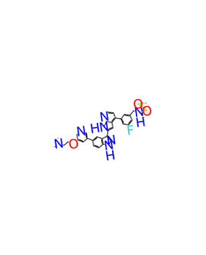 CN(C)CCOc1cncc(-c2ccc3[nH]nc(-c4cc5c(-c6cc(F)cc(CNS(C)(=O)=O)c6)ccnc5[nH]4)c3c2)c1